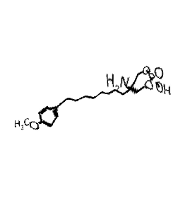 COc1ccc(CCCCCCCCC2(N)COP(=O)(O)OC2)cc1